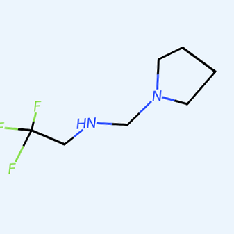 FC(F)(F)CNCN1CCCC1